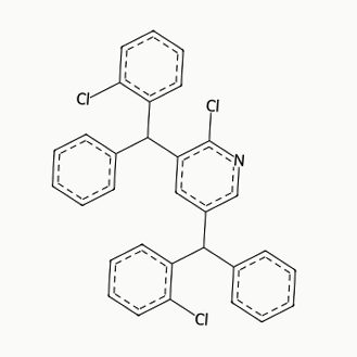 Clc1ccccc1C(c1ccccc1)c1cnc(Cl)c(C(c2ccccc2)c2ccccc2Cl)c1